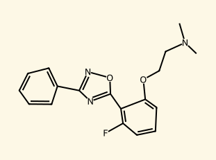 CN(C)CCOc1cccc(F)c1-c1nc(-c2ccccc2)no1